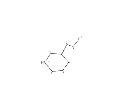 FCCC1CCCNC1